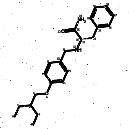 CCC(CC)COc1ccc(CN[C@@H](Cc2ccccc2)C(N)=O)cc1